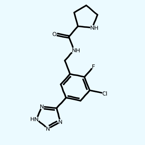 O=C(NCc1cc(-c2nn[nH]n2)cc(Cl)c1F)C1CCCN1